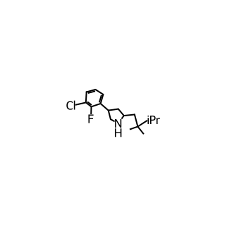 CC(C)C(C)(C)CC1CC(c2cccc(Cl)c2F)CN1